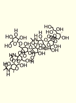 CC(=O)NC1[C@H](O[C@@H]2C(CO)O[C@@H](C)C(NC(C)=O)[C@H]2O)OC(CO)[C@@H](O[C@@H]2OC(CO[C@H]3OC(CO)[C@@H](O)[C@H](O)C3O)[C@@H](O)[C@H](O[C@H]3OC(CO)[C@@H](O)C(O)C3O[C@@H]3OC(CO)[C@@H](O[C@@H]4OC(CO)[C@H](O)[C@H](O[C@]5(OC=O)C[C@@H](O)[C@@H](C)C([C@@H](O)[C@H](O)CO)O5)C4O)[C@H](O)C3NC(C)=O)C2O)[C@@H]1O